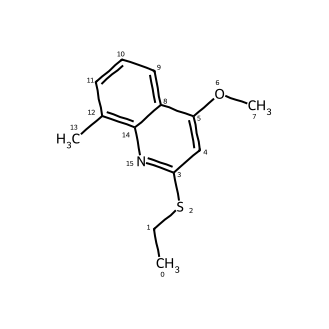 CCSc1cc(OC)c2cccc(C)c2n1